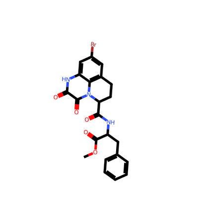 COC(=O)C(Cc1ccccc1)NC(=O)C1CCc2cc(Br)cc3[nH]c(=O)c(=O)n1c23